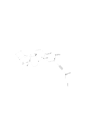 CCOC(=O)C#CC1C[C@@]2(C)C(=CC1=O)CC[C@H]1[C@@H]3[C@@H]4CC[C@@H]4[C@@H](O)[C@@]3(C)CC[C@@H]12